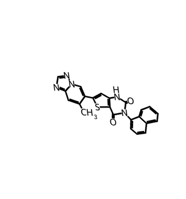 Cc1cc2ncnn2cc1-c1cc2[nH]c(=O)n(-c3cccc4ccccc34)c(=O)c2s1